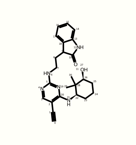 C#Cc1cnc(NCCC2C(=O)Nc3ccccc32)nc1N[C@@H]1CCC[C@H](O)C1(C)C